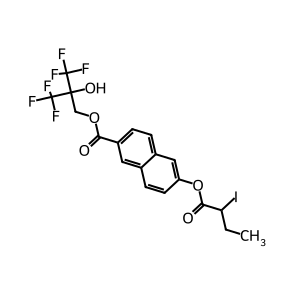 CCC(I)C(=O)Oc1ccc2cc(C(=O)OCC(O)(C(F)(F)F)C(F)(F)F)ccc2c1